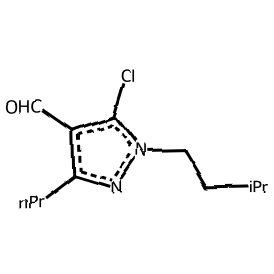 CCCc1nn(CCC(C)C)c(Cl)c1C=O